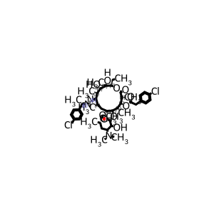 CC[C@H]1OC(=O)[C@H](C)[C@@H](OC(=O)Cc2ccc(Cl)cc2)[C@H](C)[C@@H](OC2OC(C)CC(N(C)C)C2O)[C@](C)(OC)C[C@@H](C)/C(=N\N=C(/C)c2ccc(Cl)cc2)[C@H](C)[C@@H](O)[C@]1(C)O